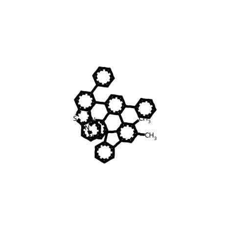 Cc1cc2c(c(-c3c(-c4ccccc4)ccc(-c4c(-c5ccccc5)ccc5sc6ccccc6c45)c3-c3ccnnn3)c1C)Cc1ccccc1-2